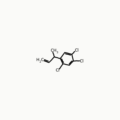 C=C[C](C)c1cc(Cl)c(Cl)cc1Cl